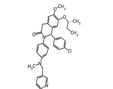 CC[C@@H](C)Oc1cc2c(cc1OC)CC(=O)N(c1ccc(N(C)Cc3cccnc3)cc1)C2c1ccc(Cl)cc1